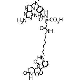 CN(Cc1cnc2nc(N)nc(N)c2n1)c1ccc(C(=O)N[C@@H](CCC(=O)NCCCCCCCCNc2cccc3c2C(=O)N(C2CCC(=O)NC2=O)C3=O)C(=O)O)cc1